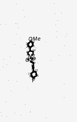 COc1ccc(C2CCN(S(=O)(=O)/C=C/C#Cc3ccc(F)cc3)CC2)cc1